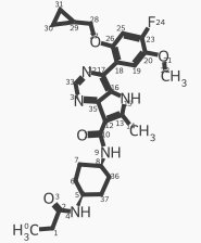 CCC(=O)N[C@H]1CC[C@@H](NC(=O)c2c(C)[nH]c3c(-c4cc(OC)c(F)cc4OCC4CC4)ncnc23)CC1